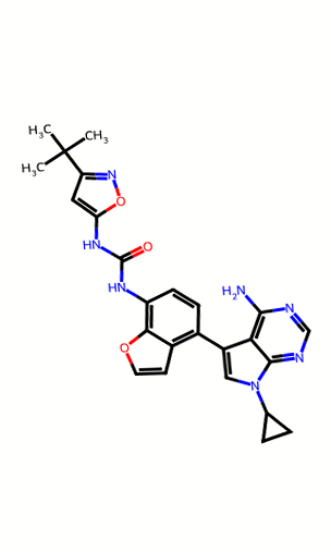 CC(C)(C)c1cc(NC(=O)Nc2ccc(-c3cn(C4CC4)c4ncnc(N)c34)c3ccoc23)on1